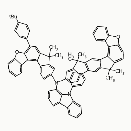 CC(C)(C)c1ccc(-c2cc3c(c4c2oc2ccccc24)-c2ccc(N(c4ccc5c(c4)C(C)(C)c4cc6c(cc4-5)C(C)(C)c4ccc5oc7ccccc7c5c4-6)c4cccc5c6ccccc6n(-c6ccccc6)c45)cc2C3(C)C)cc1